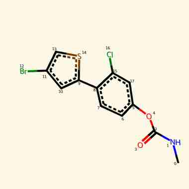 CNC(=O)Oc1ccc(-c2cc(Br)cs2)c(Cl)c1